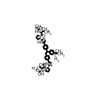 COC(=O)N[C@H](C(=O)N1CCC[C@H]1c1ncc(-c2ccc(C(=Cc3ccc(-c4cnc([C@@H]5CCCN5C(=O)[C@@H](NC(=O)O)C(C)C)[nH]4)cc3)c3ccc(C(C)(C)C)cc3)cc2)[nH]1)C(C)C